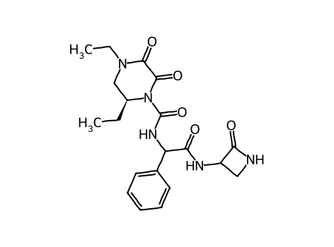 CC[C@H]1CN(CC)C(=O)C(=O)N1C(=O)NC(C(=O)NC1CNC1=O)c1ccccc1